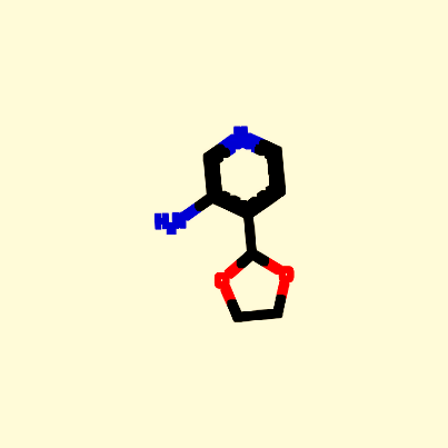 Nc1cnccc1C1OCCO1